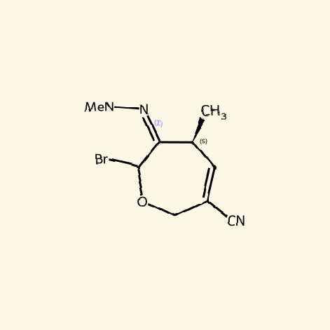 CN/N=C1\C(Br)OCC(C#N)=C[C@@H]1C